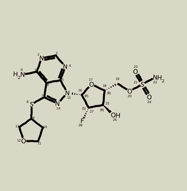 Nc1ncnc2c1c(SC1CCOC1)nn2[C@@H]1O[C@H](COS(N)(=O)=O)[C@@H](O)[C@@H]1F